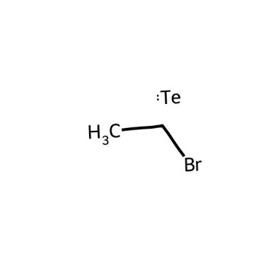 CCBr.[Te]